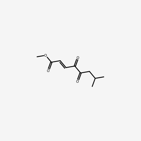 COC(=O)/C=C/C(=O)C(=O)CC(C)C